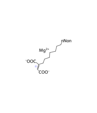 CCCCCCCCCCCCCCCC/C(=C\C(=O)[O-])C(=O)[O-].[Mg+2]